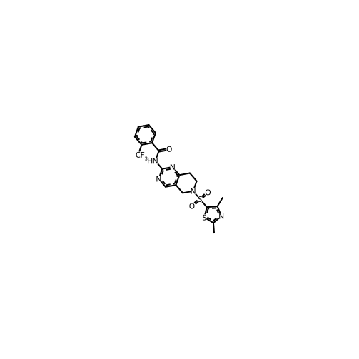 Cc1nc(C)c(S(=O)(=O)N2CCc3nc(NC(=O)c4ccccc4C(F)(F)F)ncc3C2)s1